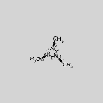 CC#CN1CN(C#CC)CN(C#CC)C1